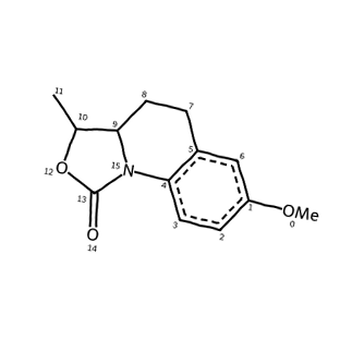 COc1ccc2c(c1)CCC1C(C)OC(=O)N21